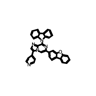 c1ccc2c(c1)oc1cc(-c3cn4c(-c5ccncc5)cnc4c(-n4c5ccccc5c5ccccc54)n3)ccc12